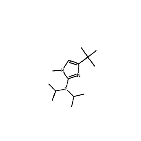 CC(C)P(c1nc(C(C)(C)C)cn1C)C(C)C